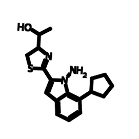 CC(O)C1CSC(c2cc3cccc(C4CCCC4)c3n2N)=N1